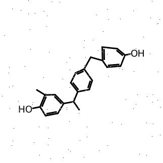 Cc1cc(C(C)c2ccc(Cc3ccc(O)cc3)cc2)ccc1O